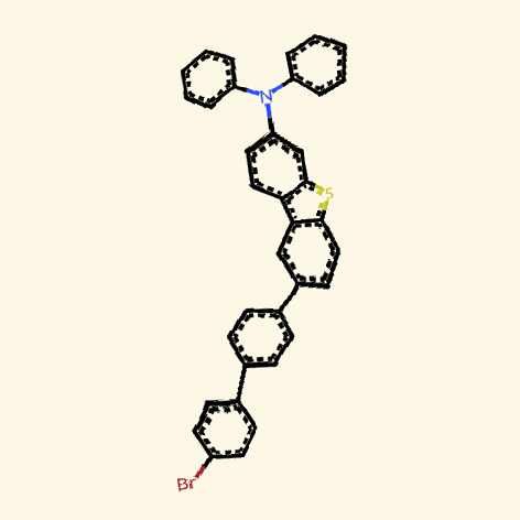 Brc1ccc(-c2ccc(-c3ccc4sc5cc(N(c6ccccc6)c6ccccc6)ccc5c4c3)cc2)cc1